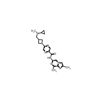 Cc1cn2cc(NC(=O)c3cnc(N4CC(CN(C)C5CC5)C4)cn3)nc(C)c2n1